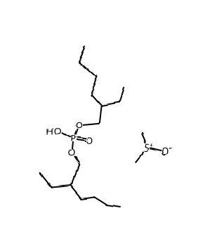 CCCCC(CC)COP(=O)(O)OCC(CC)CCCC.C[S+](C)[O-]